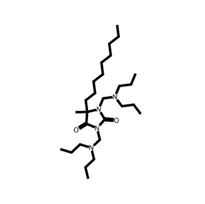 CCCCCCCCCC1(C)C(=O)N(CN(CCC)CCC)C(=O)N1CN(CCC)CCC